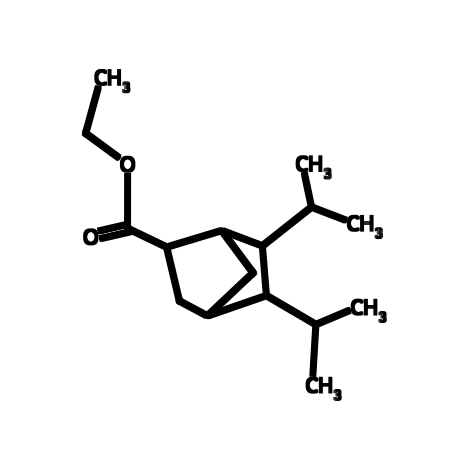 CCOC(=O)C1CC2CC1C(C(C)C)C2C(C)C